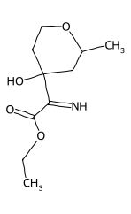 CCOC(=O)C(=N)C1(O)CCOC(C)C1